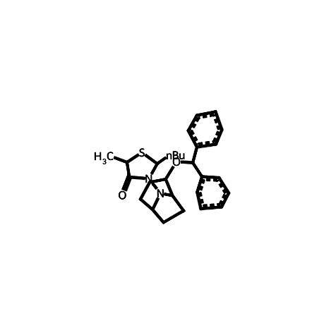 CCCCC1SC(C)C(=O)N1N1C2CCC(OC(c3ccccc3)c3ccccc3)C1CC2